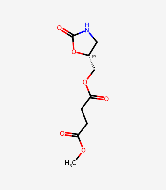 COC(=O)CCC(=O)OC[C@H]1CNC(=O)O1